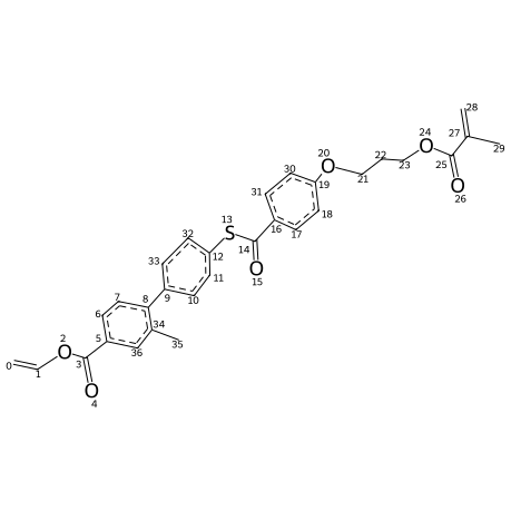 C=COC(=O)c1ccc(-c2ccc(SC(=O)c3ccc(OCCCOC(=O)C(=C)C)cc3)cc2)c(C)c1